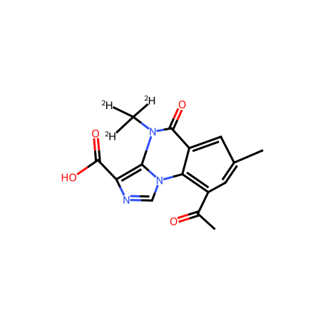 [2H]C([2H])([2H])n1c(=O)c2cc(C)cc(C(C)=O)c2n2cnc(C(=O)O)c12